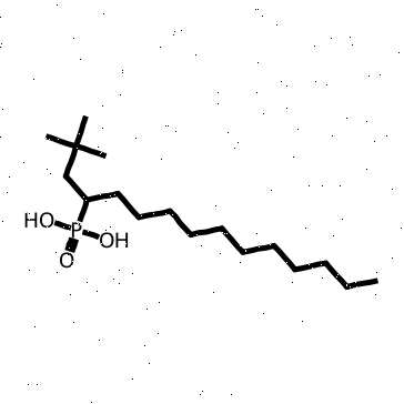 CCCCCCCCCCCC(CC(C)(C)C)P(=O)(O)O